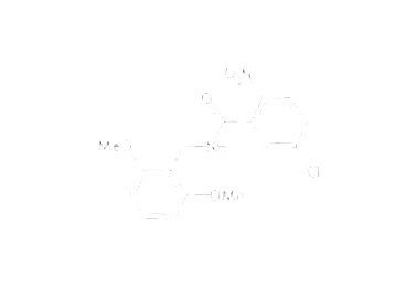 COc1cccc(OC)c1CNC(=O)c1cc(Cl)ccc1[N+](=O)[O-]